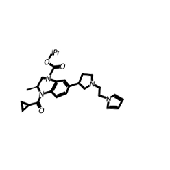 CC(C)OC(=O)N1C[C@H](C)N(C(=O)C2CC2)c2ccc(C3CCN(CCn4cccc4)C3)cc21